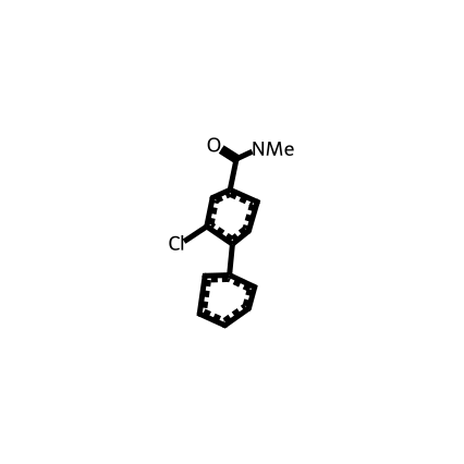 CNC(=O)c1ccc(-c2ccccc2)c(Cl)c1